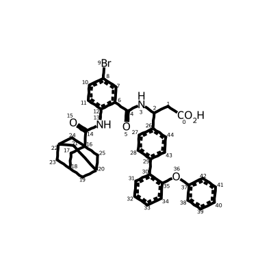 O=C(O)CC(NC(=O)c1cc(Br)ccc1NC(=O)C12CC3CC(CC(C3)C1)C2)c1ccc(-c2ccccc2Oc2ccccc2)cc1